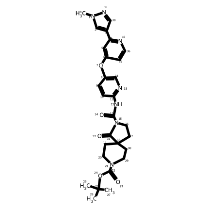 Cn1cc(-c2cc(Oc3ccc(NC(=O)N4CCC5(CCN(C(=O)OC(C)(C)C)CC5)C4=O)nc3)ccn2)cn1